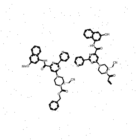 C=CC(=O)N1CCN(c2cc(C(=O)Nc3cc(O)cc4ccccc34)nc(-c3cccnc3)n2)C[C@@H]1CC#N.COc1cc(NC(=O)c2cc(N3CCN(C(=O)OCc4ccccc4)[C@@H](CC#N)C3)nc(-c3cccnc3)n2)c2ccccc2c1